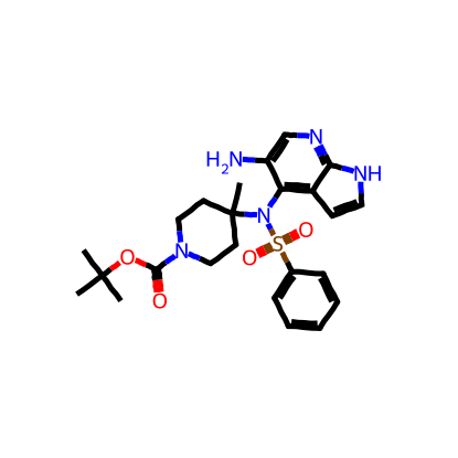 CC(C)(C)OC(=O)N1CCC(C)(N(c2c(N)cnc3[nH]ccc23)S(=O)(=O)c2ccccc2)CC1